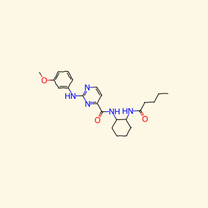 CCCCC(=O)NC1CCCCC1NC(=O)c1ccnc(Nc2cccc(OC)c2)n1